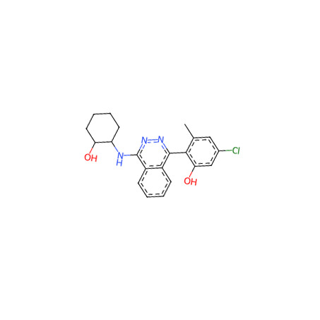 Cc1cc(Cl)cc(O)c1-c1nnc(NC2CCCCC2O)c2ccccc12